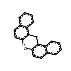 Clc1ccc2ccccc2c1[C]c1c(Cl)ccc2ccccc12